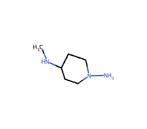 CNC1CCN(N)CC1